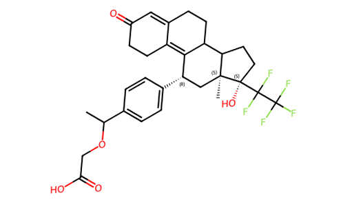 CC(OCC(=O)O)c1ccc([C@H]2C[C@@]3(C)C(CC[C@@]3(O)C(F)(F)C(F)(F)F)C3CCC4=CC(=O)CCC4=C32)cc1